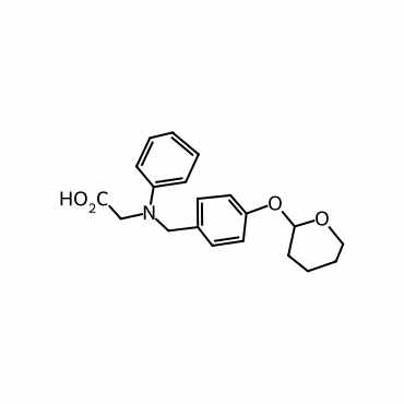 O=C(O)CN(Cc1ccc(OC2CCCCO2)cc1)c1ccccc1